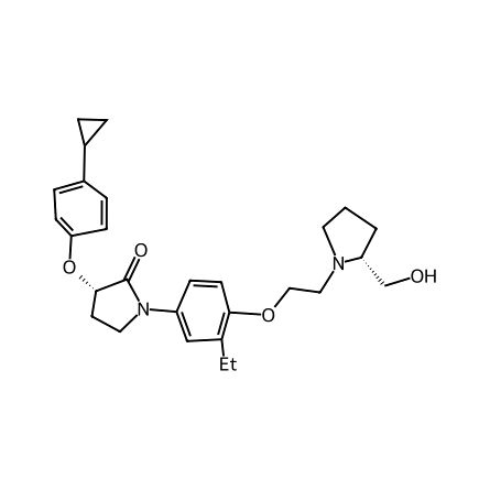 CCc1cc(N2CC[C@H](Oc3ccc(C4CC4)cc3)C2=O)ccc1OCCN1CCC[C@@H]1CO